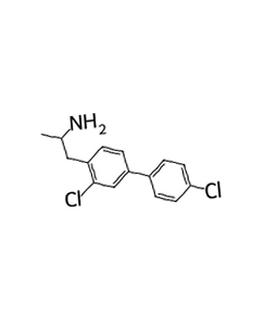 CC(N)Cc1ccc(-c2ccc(Cl)cc2)cc1Cl